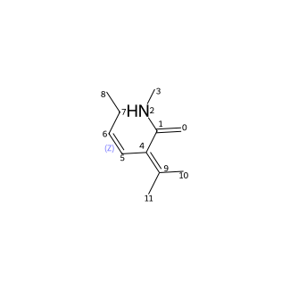 C=C(NC)C(/C=C\CC)=C(C)C